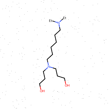 CCN(CC)CCCCCCN(CCCO)CCCO